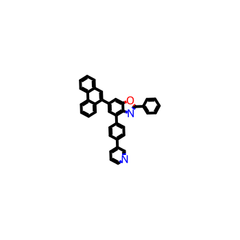 c1ccc(-c2nc3c(-c4ccc(-c5cccnc5)cc4)cc(-c4cc5ccccc5c5ccccc45)cc3o2)cc1